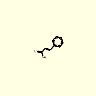 C=C(N)C=Cc1ccccc1